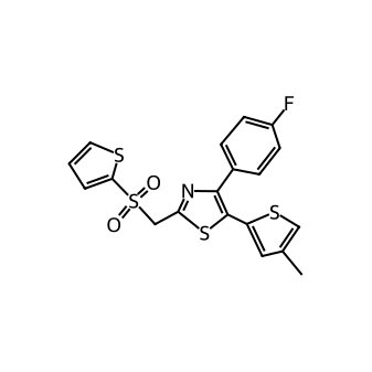 Cc1csc(-c2sc(CS(=O)(=O)c3cccs3)nc2-c2ccc(F)cc2)c1